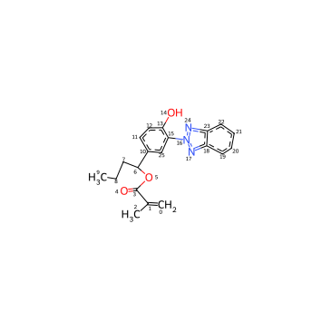 C=C(C)C(=O)OC(CCC)c1ccc(O)c(-n2nc3ccccc3n2)c1